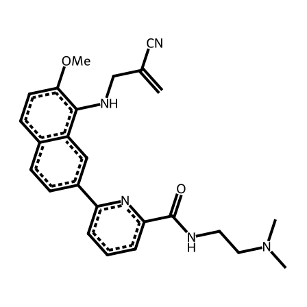 C=C(C#N)CNc1c(OC)ccc2ccc(-c3cccc(C(=O)NCCN(C)C)n3)cc12